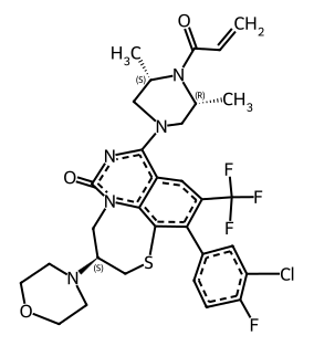 C=CC(=O)N1[C@H](C)CN(c2nc(=O)n3c4c(c(-c5ccc(F)c(Cl)c5)c(C(F)(F)F)cc24)SC[C@@H](N2CCOCC2)C3)C[C@@H]1C